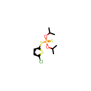 CC(C)OP(=S)(OC(C)C)Sc1ccc(Cl)s1